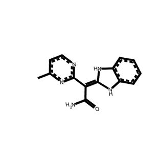 Cc1ccnc(C(C(N)=O)=C2Nc3ccccc3N2)n1